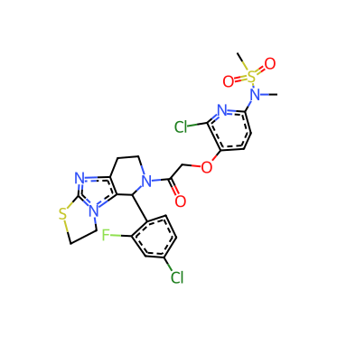 CN(c1ccc(OCC(=O)N2CCc3nc4n(c3C2c2ccc(Cl)cc2F)CCS4)c(Cl)n1)S(C)(=O)=O